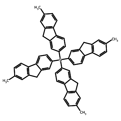 Cc1ccc2c(c1)Cc1cc([Si](c3ccc4c(c3)Cc3cc(C)ccc3-4)(c3ccc4c(c3)Cc3cc(C)ccc3-4)c3ccc4c(c3)Cc3cc(C)ccc3-4)ccc1-2